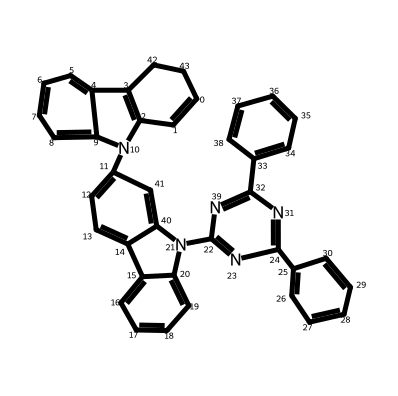 C1=Cc2c(c3ccccc3n2-c2ccc3c4ccccc4n(-c4nc(-c5ccccc5)nc(-c5ccccc5)n4)c3c2)CC1